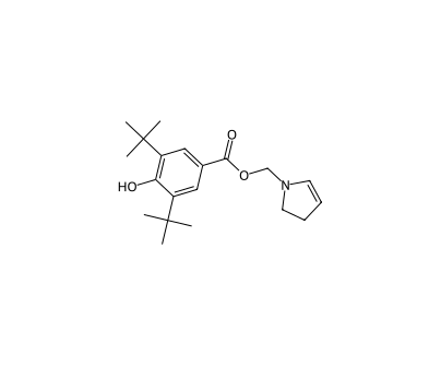 CC(C)(C)c1cc(C(=O)OCN2C=CCC2)cc(C(C)(C)C)c1O